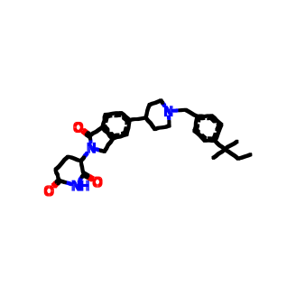 CCC(C)(C)c1ccc(CN2CCC(c3ccc4c(c3)CN(C3CCC(=O)NC3=O)C4=O)CC2)cc1